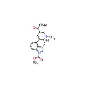 COC(=O)C1C=C2c3cccc4c3c(cn4C(=O)OC(C)(C)C)C[C@H]2N(C)C1